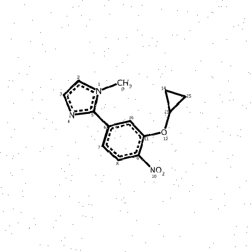 Cn1ccnc1-c1ccc([N+](=O)[O-])c(OC2CC2)c1